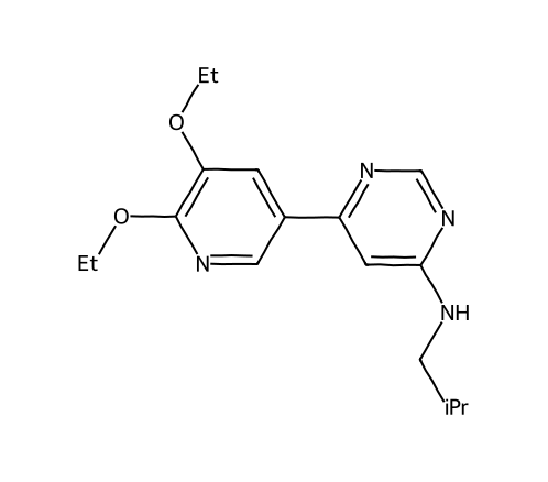 CCOc1cc(-c2cc(NCC(C)C)ncn2)cnc1OCC